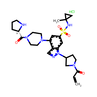 C=CC(=O)N1CCC(n2ncc3c(N4CCN(C(=O)[C@@H]5CCCN5)CC4)cc(S(=O)(=O)NC4(C)CC4)cc32)C1.Cl